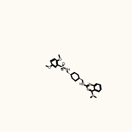 COc1ccc(OC)c(S(=O)(=O)NC[C@H]2CC[C@H](CNc3nc(N(C)C)c4ccccc4n3)CC2)c1